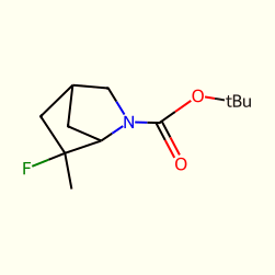 CC(C)(C)OC(=O)N1CC2CC1C(C)(F)C2